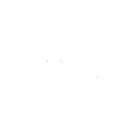 C=C=C1NC(CCCC)(CCCC)C(=O)N1CCCCC(=O)NC